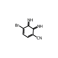 N#CC1=CC=C(Br)C(=N)C1=N